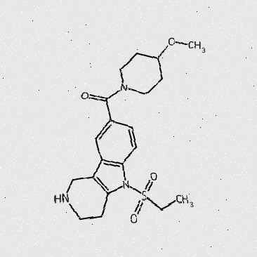 CCS(=O)(=O)n1c2c(c3cc(C(=O)N4CCC(OC)CC4)ccc31)CNCC2